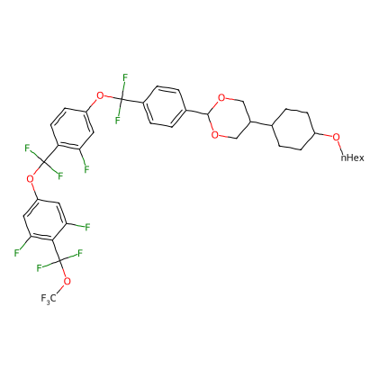 CCCCCCOC1CCC(C2COC(c3ccc(C(F)(F)Oc4ccc(C(F)(F)Oc5cc(F)c(C(F)(F)OC(F)(F)F)c(F)c5)c(F)c4)cc3)OC2)CC1